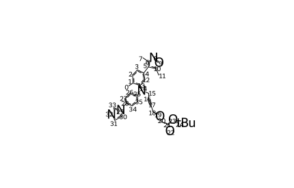 Cc1ccc(-c2c(C)noc2C)cc1N(CC#CCOCC(=O)OC(C)(C)C)c1ccc(-n2ccnc2)cc1